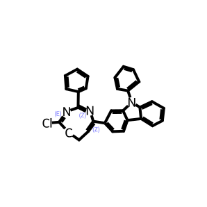 Cl/C1=N/C(c2ccccc2)=N\C(c2ccc3c4ccccc4n(-c4ccccc4)c3c2)=C/CC1